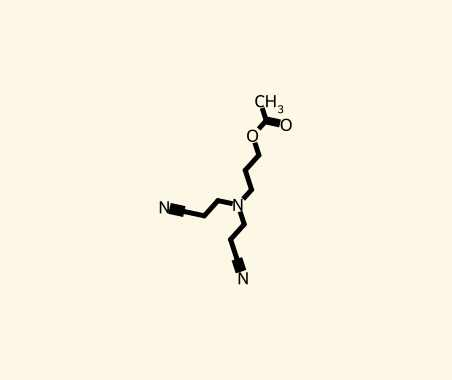 CC(=O)OCCCN(CCC#N)CCC#N